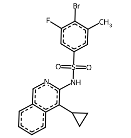 Cc1cc(S(=O)(=O)Nc2ncc3ccccc3c2C2CC2)cc(F)c1Br